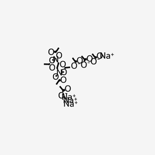 CC(=O)ON(CCN(OC(C)=O)OC(C)=O)OC(C)=O.CC(=O)[O-].CC(=O)[O-].CC(=O)[O-].CC(=O)[O-].[Na+].[Na+].[Na+].[Na+]